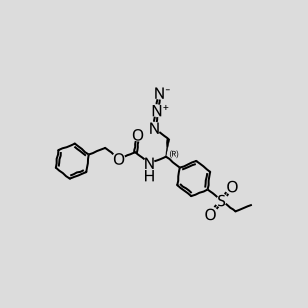 CCS(=O)(=O)c1ccc([C@H](CN=[N+]=[N-])NC(=O)OCc2ccccc2)cc1